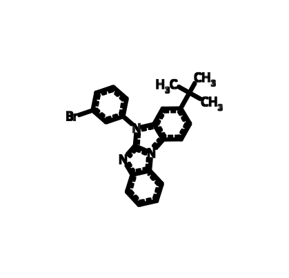 CC(C)(C)c1ccc2c(c1)n(-c1cccc(Br)c1)c1nc3ccccc3n21